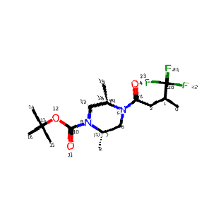 CC(CC(=O)N1C[C@H](C)N(C(=O)OC(C)(C)C)C[C@H]1C)C(F)(F)F